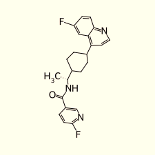 C[C@@H](NC(=O)c1ccc(F)nc1)C1CCC(c2ccnc3ccc(F)cc23)CC1